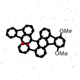 COc1ccc(OC)c2c1-c1cccc3c(-c4ccc5c6c(cccc46)-c4ccccc4-5)c4c(-c5ccccc5)cccc4c-2c13